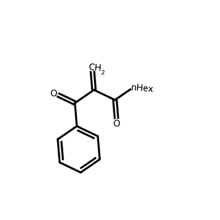 C=C(C(=O)CCCCCC)C(=O)c1ccccc1